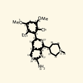 CCc1c(OC)cc(OC)c(Cl)c1-c1cc2cnc(N)nc2c(C2CCN(C)CC2)n1